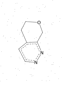 c1cc2c(nn1)COCC2